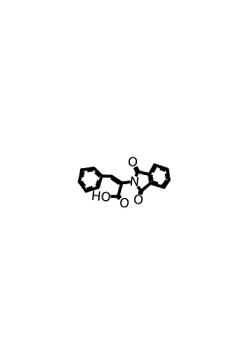 O=C(O)C(=Cc1ccccc1)N1C(=O)c2ccccc2C1=O